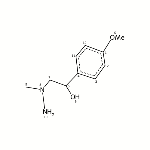 COc1ccc(C(O)CN(C)N)cc1